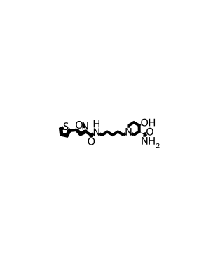 NC(=O)[C@@H]1CN(CCCCCNC(=O)c2cc(-c3cccs3)on2)CC[C@H]1O